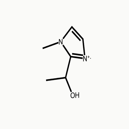 CC(O)C1=[N+]C=CN1C